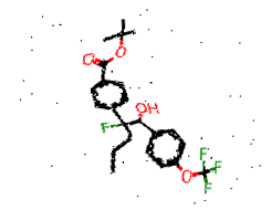 CCC[C@](F)(c1ccc(C(=O)OC(C)(C)C)cc1)[C@@H](O)c1ccc(OC(F)(F)F)cc1